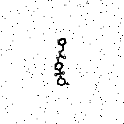 CC1CCCN(S(=O)(=O)c2ccc(OC(=O)OCc3cccnc3)cc2)C1